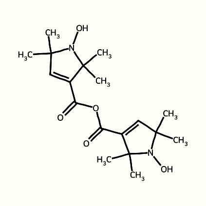 CC1(C)C=C(C(=O)OC(=O)C2=CC(C)(C)N(O)C2(C)C)C(C)(C)N1O